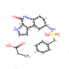 CCC(=O)O.O=c1[nH]c2ccc(NS(=O)(=O)Cc3ccccc3)cc2c2cc[nH]c12